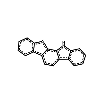 c1ccc2c(c1)[nH]c1c2ccc2c3ccccc3sc21